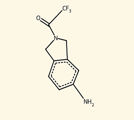 Nc1ccc2c(c1)CN(C(=O)C(F)(F)F)C2